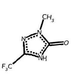 Cn1nc(C(F)(F)F)[nH]c1=O